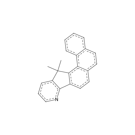 CC1(C)c2cccnc2-c2ccc3ccc4ccccc4c3c21